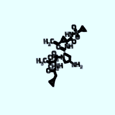 C=C[C@H]1C[C@]1(NC(=O)[C@@H]1C[C@@H](N)CN1C(=O)[C@@H](NC(=O)CC1CC1)C(C)(C)C)C(=O)NS(=O)(=O)C1CC1